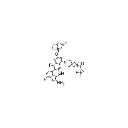 N#Cc1c(N)sc2c(F)ccc(-c3c(Cl)cc4c(N5CCC6(CC5)CN(C(=O)C5CC5(F)F)C6)nc(OC[C@@]56CCCN5C[C@H](F)C6)nc4c3F)c12